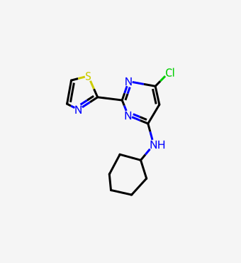 Clc1cc(NC2CCCCC2)nc(-c2nccs2)n1